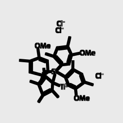 COc1cc([Si](c2cc(OC)c(C)cc2C)(c2cc(OC)c(C)cc2C)[C]2([Ti+3])C(C)=C(C)C(C)=C2C)c(C)cc1C.[Cl-].[Cl-].[Cl-]